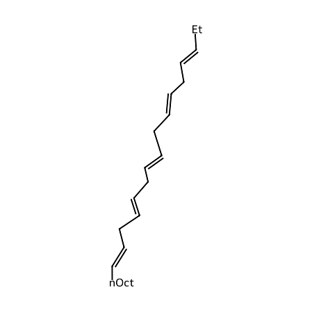 [CH2]CCCCCCCC=CCC=CCC=CCC=CCC=CCC